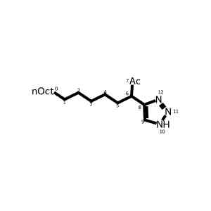 CCCCCCCCCCCCCC(C(C)=O)c1c[nH]nn1